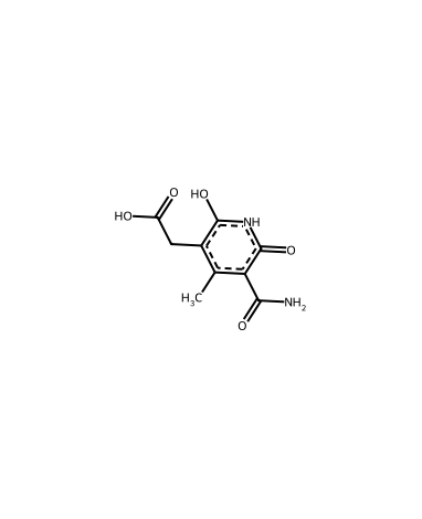 Cc1c(CC(=O)O)c(O)[nH]c(=O)c1C(N)=O